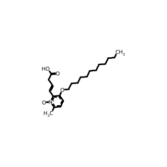 CCCCCCCCCCCCOc1ccc(C)[n+]([O-])c1C=CCC(=O)O